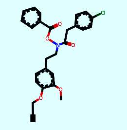 C#CCOc1ccc(CCN(OC(=O)c2ccccc2)C(=O)Cc2ccc(Cl)cc2)cc1OC